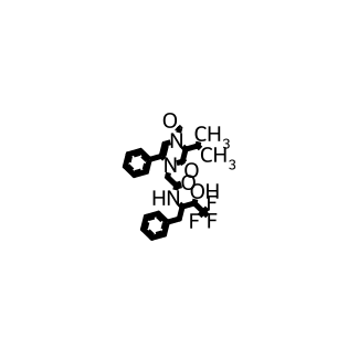 CC(C)C1C(=O)N(CC(=O)NC(Cc2ccccc2)C(O)C(F)(F)F)C(c2ccccc2)=CN1C=O